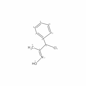 C/C(=N\O)C(Cl)c1ccccc1